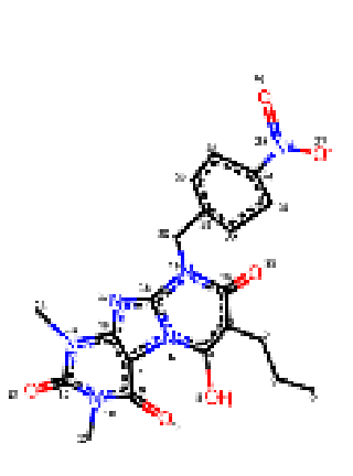 CCCc1c(O)n2c3c(=O)n(C)c(=O)n(C)c3nc2n(Cc2ccc([N+](=O)[O-])cc2)c1=O